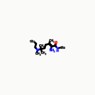 CC(CCC(C)(C)N(C)CCC(C)(C)C)=C(N)C(=O)NC(C)(C)C